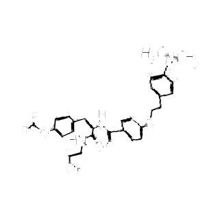 CN(C)c1ccc(CCOc2ccc(C(=O)N/C(=C/c3ccc(OC(F)F)cc3)C(=O)NCCO)cc2)cc1